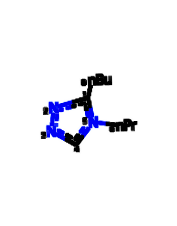 CCCCc1nncn1CCC